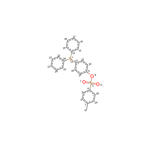 Cc1ccc(S(=O)(=O)Oc2ccc([S+](c3ccccc3)c3ccccc3)cc2)cc1